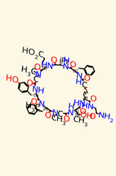 CC(C)C1NC(=O)[C@H](Cc2ccccc2)NC(=O)CSC[C@@H](C(=O)NCC(N)=O)NC(=O)[C@H]([C@@H](C)O)NC(=O)CN(C)C(=O)[C@H](Cc2ccccc2)N(C)C(=O)[C@H](Cc2ccc(O)cc2)NC(=O)CN(C)C(=O)[C@H](CCC(=O)O)NC1=O